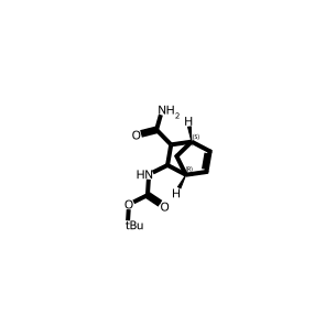 CC(C)(C)OC(=O)NC1C(C(N)=O)[C@@H]2C=C[C@H]1C2